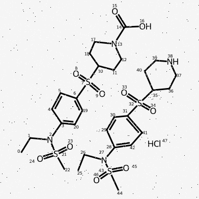 CCN(c1ccc(S(=O)(=O)C2CCN(C(=O)O)CC2)cc1)S(C)(=O)=O.CCN(c1ccc(S(=O)(=O)C2CCNCC2)cc1)S(C)(=O)=O.Cl